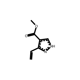 C=Cc1n[nH]cc1C(=O)OC